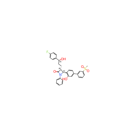 CS(=O)(=O)c1cccc(-c2ccc([C@@H]3[C@@H](CC[C@H](O)c4ccc(F)cc4)C(=O)N3c3ccccc3)c(O)c2)c1